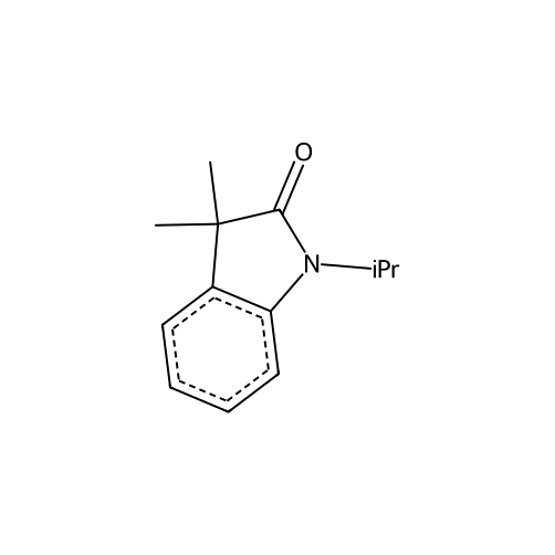 CC(C)N1C(=O)C(C)(C)c2ccccc21